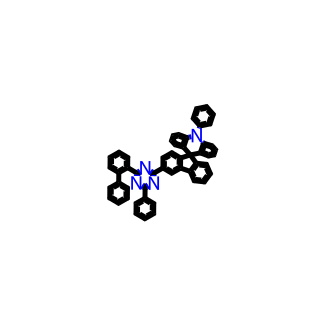 c1ccc(-c2nc(-c3ccc4c(c3)-c3ccccc3C43c4ccccc4N(c4ccccc4)c4ccccc43)nc(-c3ccccc3-c3ccccc3)n2)cc1